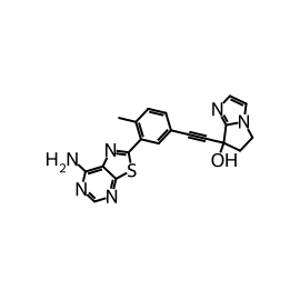 Cc1ccc(C#CC2(O)CCn3ccnc32)cc1-c1nc2c(N)ncnc2s1